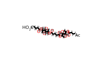 CC(=O)CCCC(=O)O[C@@H]1CO[C@H]2[C@@H]1OC[C@H]2OC(=O)CCCC(=O)O[C@@H]1CO[C@H]2[C@@H]1OC[C@H]2OC(=O)CCCC(=O)O